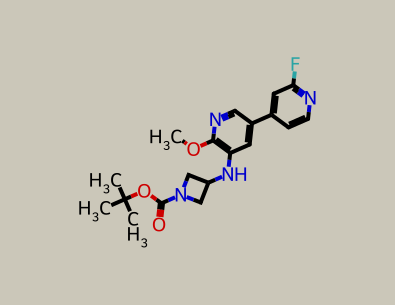 COc1ncc(-c2ccnc(F)c2)cc1NC1CN(C(=O)OC(C)(C)C)C1